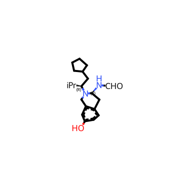 CC(C)[C@@H](CC1CCCC1)N1Cc2cc(O)ccc2C[C@@H]1NC=O